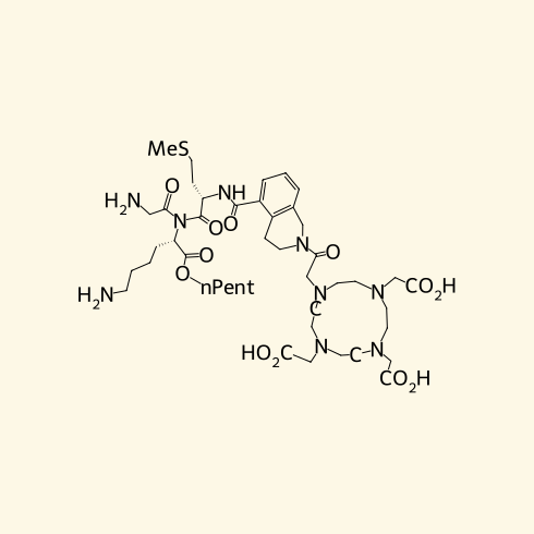 CCCCCOC(=O)[C@H](CCCCN)N(C(=O)CN)C(=O)[C@H](CCSC)NC(=O)c1cccc2c1CCN(C(=O)CN1CCN(CC(=O)O)CCN(CC(=O)O)CCN(CC(=O)O)CC1)C2